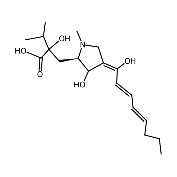 CCC/C=C/C=C/C(O)=C1/CN(C)[C@H](CC(O)(C(=O)O)C(C)C)C1O